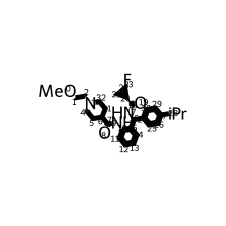 COCCN1CCC(C(=O)Nc2ccccc2[C@H](NC(=O)[C@H]2C[C@@H]2F)c2ccc(C(C)C)cc2)CC1